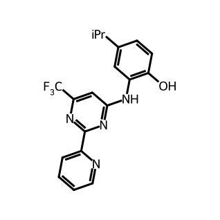 CC(C)c1ccc(O)c(Nc2cc(C(F)(F)F)nc(-c3ccccn3)n2)c1